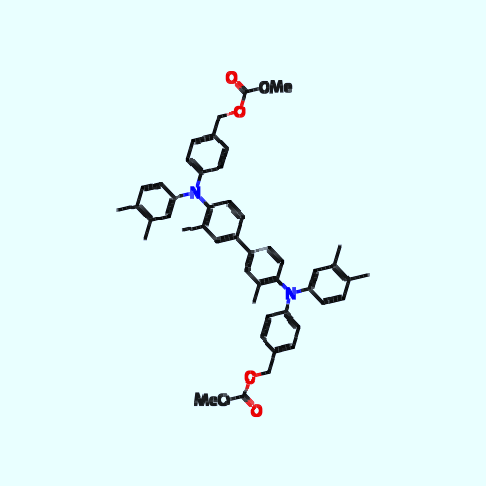 COC(=O)OCc1ccc(N(c2ccc(C)c(C)c2)c2ccc(-c3ccc(N(c4ccc(COC(=O)OC)cc4)c4ccc(C)c(C)c4)c(C)c3)cc2C)cc1